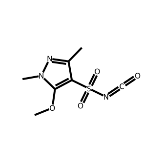 COc1c(S(=O)(=O)N=C=O)c(C)nn1C